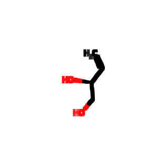 C=C[C@H](O)CO